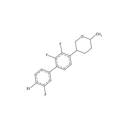 CCc1ccc(-c2ccc(C3CCC(C)OC3)c(F)c2F)cc1F